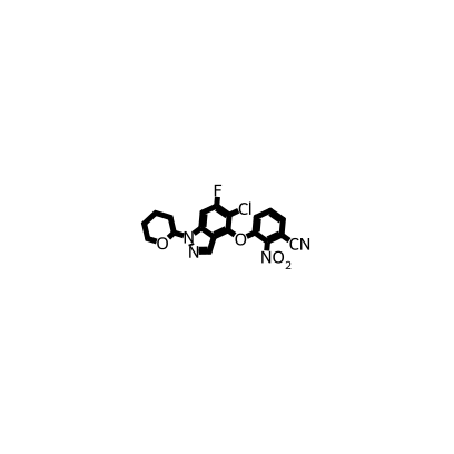 N#Cc1cccc(Oc2c(Cl)c(F)cc3c2cnn3C2CCCCO2)c1[N+](=O)[O-]